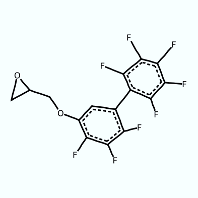 Fc1c(OCC2CO2)cc(-c2c(F)c(F)c(F)c(F)c2F)c(F)c1F